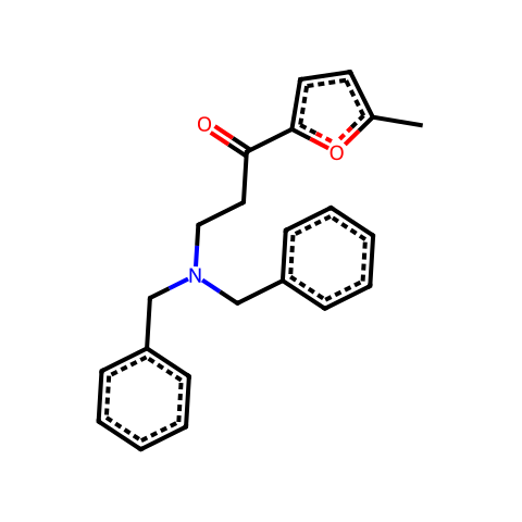 Cc1ccc(C(=O)CCN(Cc2ccccc2)Cc2ccccc2)o1